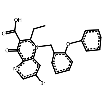 CCc1c(C(=O)O)c(=O)c2ncc(Br)cc2n1Cc1ccccc1Oc1ccccc1